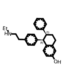 CCNCCc1ccc([C@@H]2c3ccc(O)cc3CC[C@@H]2c2ccccc2)cc1